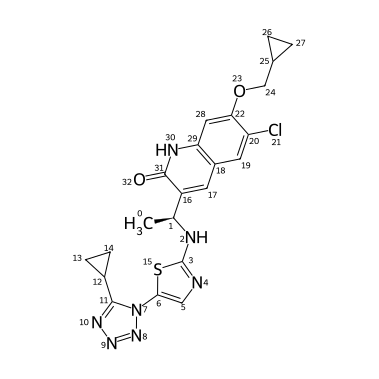 C[C@H](Nc1ncc(-n2nnnc2C2CC2)s1)c1cc2cc(Cl)c(OCC3CC3)cc2[nH]c1=O